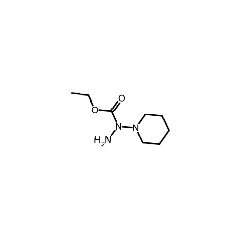 CCOC(=O)N(N)N1CCCCC1